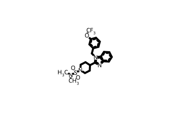 CN(C)S(=O)(=O)N1CCC(c2nc3ccccc3n2Cc2cccc(OC(F)(F)F)c2)CC1